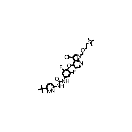 CC(C)(C)c1ccc(NC(=O)Nc2cc(F)c(Oc3ccnc4c3c(Cl)cn4COCC[Si](C)(C)C)c(F)c2)nn1